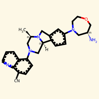 C[C@@H]1CN(c2ccc(C#N)c3ncccc23)C[C@@H]2c3ccc(N4CCOC[C@H](N)C4)cc3CN12